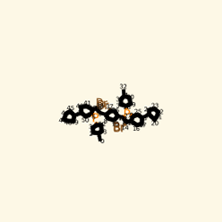 Cc1ccc(-p2c(-c3cc(Br)c(-c4c(Br)c5ccc(-c6ccccc6)cc5p4-c4ccc(C)cc4)cc3Br)c(Br)c3ccc(-c4ccccc4)cc32)cc1